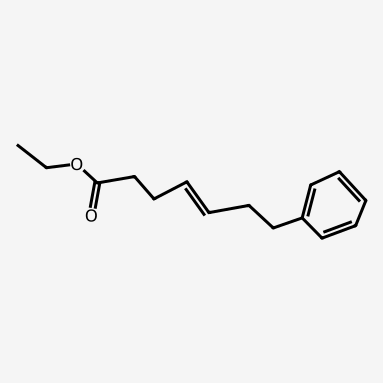 CCOC(=O)CC/C=C/CCc1ccccc1